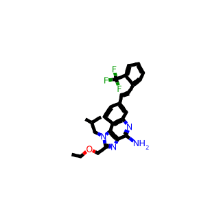 CCOCc1nc2c(N)nc3cc(C=Cc4ccccc4C(F)(F)F)ccc3c2n1CC(C)C